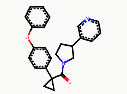 O=C(N1CCC(c2cccnc2)C1)C1(c2ccc(Oc3ccccc3)cc2)CC1